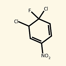 O=[N+]([O-])C1=CC(Cl)C(F)(Cl)C=C1